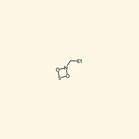 CCCN1OSO1